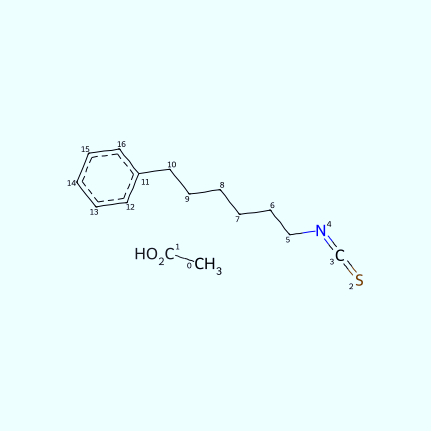 CC(=O)O.S=C=NCCCCCCc1ccccc1